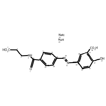 O=C(O)CCNC(=O)c1ccc(N=Nc2ccc(O)c(C(=O)O)c2)cc1.[NaH].[NaH]